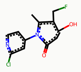 Cc1c(CF)c(O)cc(=O)n1-c1ccnc(Cl)c1